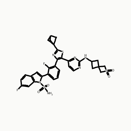 NS(=O)(=O)n1c(-c2cccc(-c3nc(C45CC(C4)C5)sc3-c3ccnc(NC4CC5(C4)CS(=O)(=O)C5)n3)c2F)cc2ccc(F)cc21